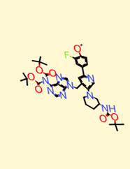 COc1ccc(-c2cc(Cn3cnc4c(N(C(=O)OC(C)(C)C)C(=O)OC(C)(C)C)ncnc43)c(N3CCC[C@@H](NC(=O)OC(C)(C)C)C3)cn2)cc1F